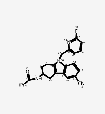 CC(C)C(=O)NC1CCc2c(c3cc(C#N)ccc3n2Cc2cccc(F)n2)C1